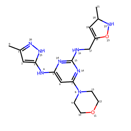 Cc1cc(Nc2cc(N3CCOCC3)nc(NCC3=CC(C)NO3)n2)[nH]n1